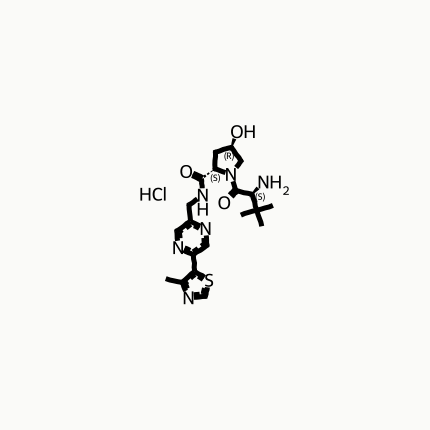 Cc1ncsc1-c1cnc(CNC(=O)[C@@H]2C[C@@H](O)CN2C(=O)[C@@H](N)C(C)(C)C)cn1.Cl